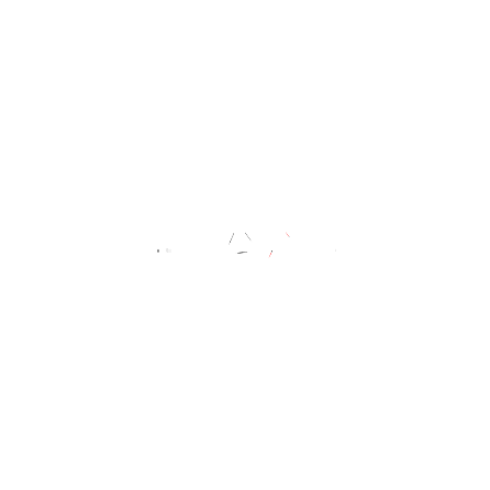 CCCCCC1CCC(c2ccc(CC(=O)C3CCC(C)CC3=O)cc2)CC1